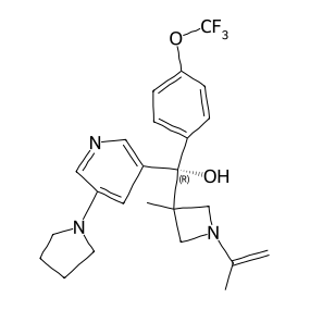 C=C(C)N1CC(C)([C@](O)(c2ccc(OC(F)(F)F)cc2)c2cncc(N3CCCC3)c2)C1